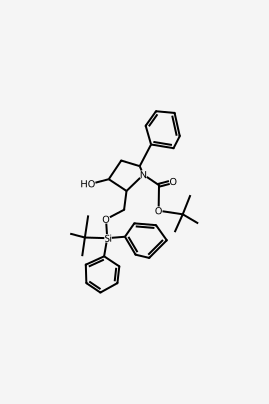 CC(C)(C)OC(=O)N1C(c2ccccc2)CC(O)C1CO[Si](c1ccccc1)(c1ccccc1)C(C)(C)C